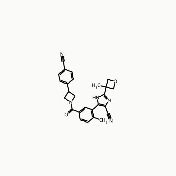 Cc1ccc(C(=O)N2CC(c3ccc(C#N)cc3)C2)cc1-c1[nH]c(C2(C)COC2)nc1C#N